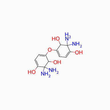 NC1(N)C(O)=CC=C(OC2=CC=C(O)C(N)(N)C2O)C1O